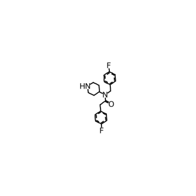 O=C(Cc1ccc(F)cc1)N(Cc1ccc(F)cc1)C1CCNCC1